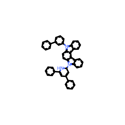 C1=C(c2ccccc2)C=C(c2ccccc2)NC1n1c2ccccc2c2c3c4ccccc4n(-c4cccc(-c5ccccc5)c4)c3ccc21